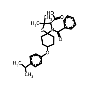 CC(C)c1ccc(OC2CCC3(CC2)SC(C)(C)[C@@H](C(=O)O)N3C(=O)c2ccccc2)cc1